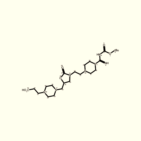 CC(C)(C)OC(=O)NC(=N)N1CCN(CCN2CC(CN3CCN(CCC(=O)O)CC3)OC2=O)CC1